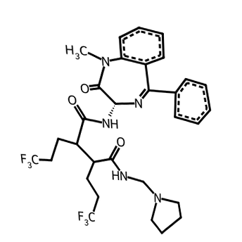 CN1C(=O)[C@@H](NC(=O)C(CCC(F)(F)F)C(CCC(F)(F)F)C(=O)NCN2CCCC2)N=C(c2ccccc2)c2ccccc21